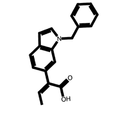 CC=C(C(=O)O)c1ccc2ccn(Cc3ccccc3)c2c1